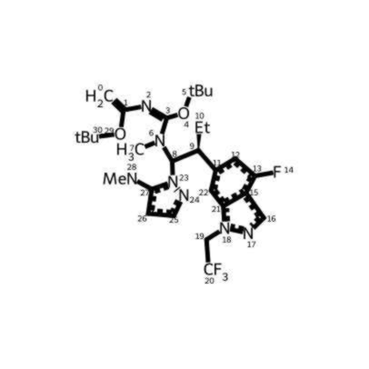 C=C(/N=C(/OC(C)(C)C)N(C)C([C@@H](CC)c1cc(F)c2cnn(CC(F)(F)F)c2c1)n1nccc1NC)OC(C)(C)C